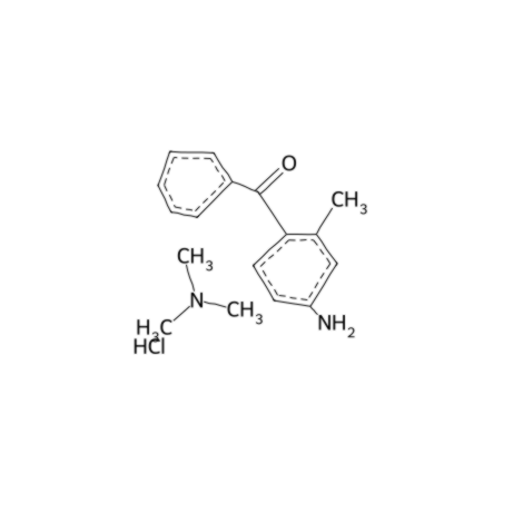 CN(C)C.Cc1cc(N)ccc1C(=O)c1ccccc1.Cl